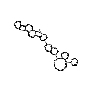 c1ccc(-c2ccccccc(-c3ccc4cc(-c5ccc6sc7c(ccc8c7ccc7c9ccccc9oc78)c6c5)ccc4c3)c3ccccc23)cc1